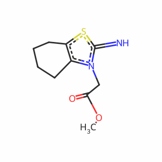 COC(=O)Cn1c2c(sc1=N)CCCC2